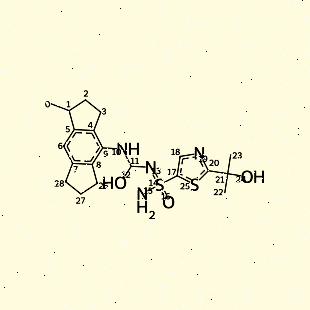 CC1CCc2c1cc1c(c2NC(O)N=S(N)(=O)c2cnc(C(C)(C)O)s2)CCC1